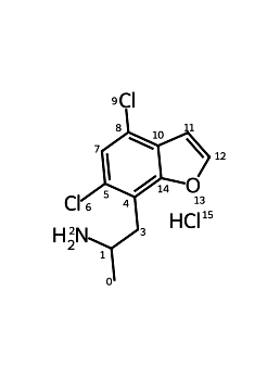 CC(N)Cc1c(Cl)cc(Cl)c2ccoc12.Cl